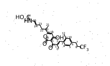 C/C(=C\c1ccc(CCC(F)(F)F)cc1C)C(=O)c1c(O)cc(C(C)CC/C=C/NC(=O)O)oc1=O